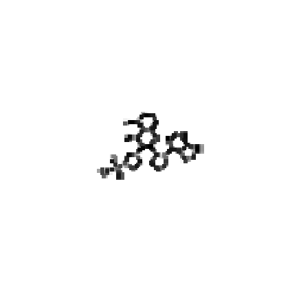 CS(=O)(=O)N1CC[C@H](n2c([C@@H]3CCCN3c3ncnc4[nH]cnc34)nc3cccc(Cl)c3c2=O)C1